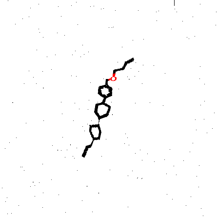 C=CCCOCc1ccc(C2CCC([C@H]3CC[C@H](CC=C)CC3)CC2)cc1